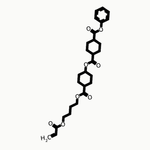 C=CC(=O)OCCCCOC(=O)C1CCC(OC(=O)C2CCC(C(=O)Oc3ccccc3)CC2)CC1